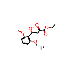 CCOC(=O)C(=O)/C=C(\[O-])c1c(OC)cccc1OC.[K+]